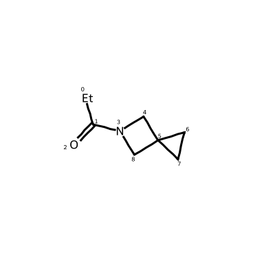 CCC(=O)N1CC2(CC2)C1